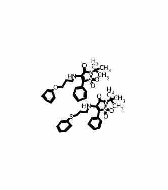 CC(C)(C)N1C(=O)C(NCCCOc2ccccc2)=C(c2ccccc2)S1(=O)=O.CC(C)(C)N1C(=O)C(NCCCSc2ccccc2)=C(c2ccccc2)S1(=O)=O